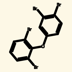 Brc1ccc(Oc2c(Br)cccc2Br)cc1Br